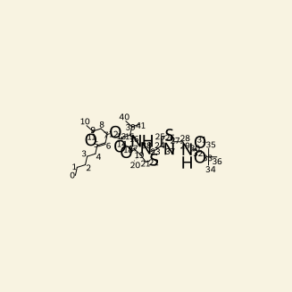 CCCCC/C=C/C(CC(C)=O)OC(=O)[C@@H](NC(=O)[C@]1(C)CSC(c2csc(CNC(=O)OC(C)(C)C)n2)=N1)C(C)C